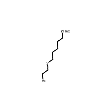 CCCCCCCCCCCSCCC(C)=O